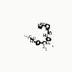 C=CC(=O)Nc1ccc(/C(N)=C/N(N)c2cccc(NC(=O)c3cccc(-c4ccn[nH]4)n3)c2)cc1